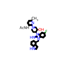 CC(=O)Nc1ccc(C)nc1N1CC[C@H](n2c(=N)n(Cc3cccc4[nH]ccc34)c3ccc(F)cc32)[C@@H](O)C1